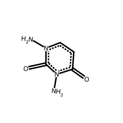 Nn1ccc(=O)n(N)c1=O